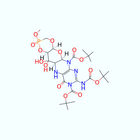 COP1(=O)CO[C@H]2O[C@@H]3[C@@H](Nc4c(nc(NC(=O)OC(C)(C)C)n(C(=O)OC(C)(C)C)c4=O)N3C(=O)OC(C)(C)C)C(O)(O)[C@H]2O1